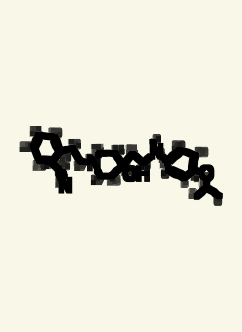 CC(C)Oc1ccc(N(C)CCC2(O)CCN(CCc3ccccc3C#N)CC2)cc1